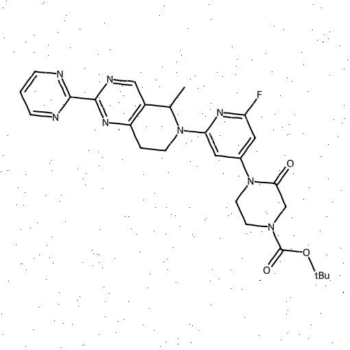 CC1c2cnc(-c3ncccn3)nc2CCN1c1cc(N2CCN(C(=O)OC(C)(C)C)CC2=O)cc(F)n1